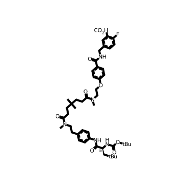 CN(CCOc1ccc(C(=O)NCc2ccc(F)c(C(=O)O)c2)cc1)C(=O)CCC(C)(C)CCC(=O)N(C)CCc1ccc(NC(=O)[C@H](CC(C)(C)C)NC(=O)OC(C)(C)C)cc1